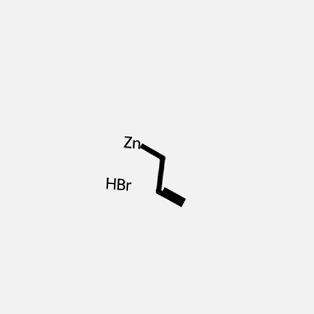 Br.C=C[CH2][Zn]